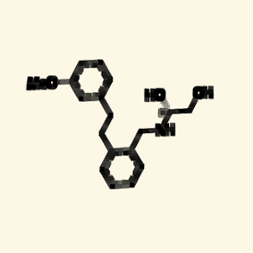 COc1cccc(CCc2ccccc2CN[C@H](O)CO)c1